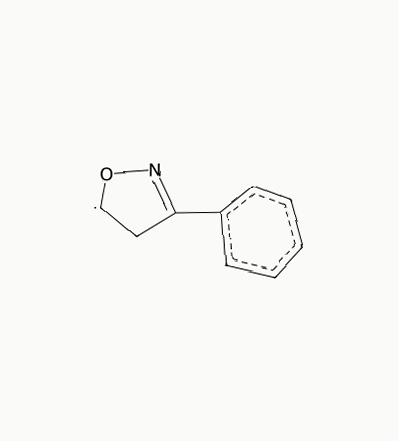 [CH]1CC(c2ccccc2)=NO1